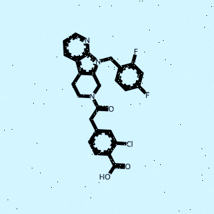 O=C(O)c1ccc(CC(=O)N2CCc3c(n(Cc4ccc(F)cc4F)c4ncccc34)C2)cc1Cl